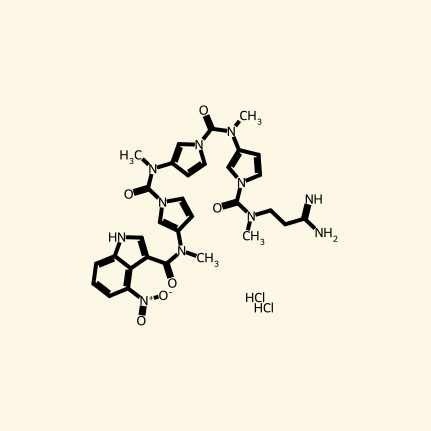 CN(CCC(=N)N)C(=O)n1ccc(N(C)C(=O)n2ccc(N(C)C(=O)n3ccc(N(C)C(=O)c4c[nH]c5cccc([N+](=O)[O-])c45)c3)c2)c1.Cl.Cl